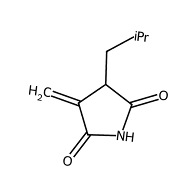 C=C1C(=O)NC(=O)C1CC(C)C